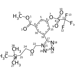 COC(=O)c1cc(OS(=O)(=O)C(F)(F)F)cc(-c2nnnn2COCC[Si](C)(C)C)c1